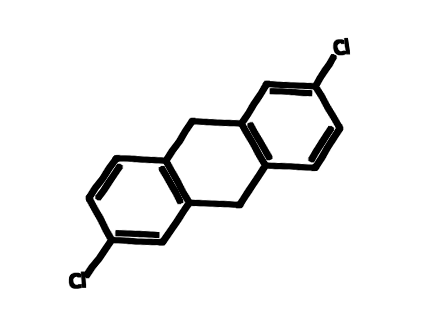 Clc1ccc2c(c1)Cc1ccc(Cl)cc1C2